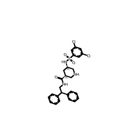 O=C(NCC(c1ccccc1)c1ccccc1)[C@@H]1CNC[C@H](NS(=O)(=O)c2cc(Cl)cc(Cl)c2)C1